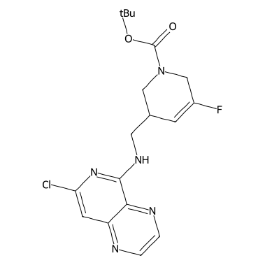 CC(C)(C)OC(=O)N1CC(F)=CC(CNc2nc(Cl)cc3nccnc23)C1